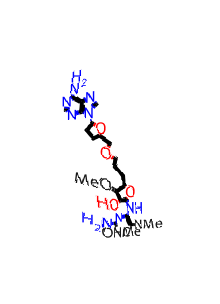 CN/C(N)=N\C(NC1OC(CCCOCC2CC[C@H](n3cnc4c(N)ncnc43)O2)C(OC)C1O)=C(/C=O)NC